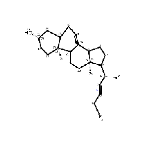 C[C@H](/C=C/CF)C1CCC2C3=CCC4C[C@@H](O)CC[C@]4(C)C3CC[C@@]21C